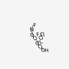 CC1=C(c2ccc(Cl)c(F)c2)C(c2ccc(OCCN3CC(CF)C3)cc2)Oc2ccc(O)cc21